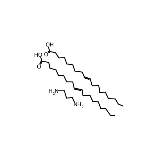 CCCCCCCCC=CCCCCCCCC(=O)O.CCCCCCCCC=CCCCCCCCC(=O)O.NCCCN